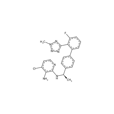 C[C@@H](Nc1nccc(Cl)c1N)c1ccc(-c2cccc(F)c2-c2nnn(C)n2)cc1